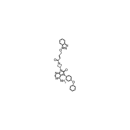 Nc1ncnc2c1n(-c1ccc(Oc3ccccc3)cc1)c(=O)n2C1CN(C(=O)C=CCOn2nnc3ccccc32)C1